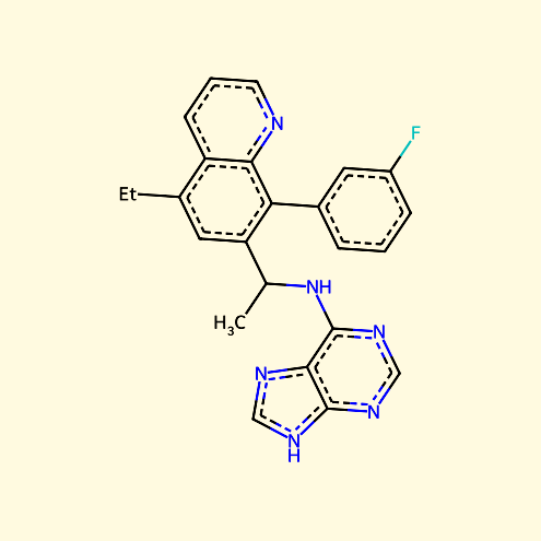 CCc1cc(C(C)Nc2ncnc3[nH]cnc23)c(-c2cccc(F)c2)c2ncccc12